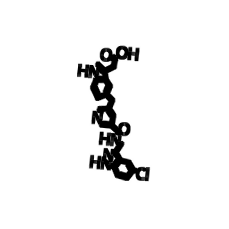 O=C(O)Cc1c[nH]c2ccc(Cc3cncc(C(=O)NCc4n[nH]c5ccc(Cl)cc45)c3)cc12